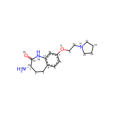 N[C@H]1CCc2ccc(OCCN3CCCC3)cc2NC1=O